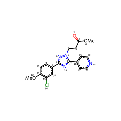 COC(=O)CCn1nc(-c2ccc(OC)c(Cl)c2)nc1-c1ccncc1